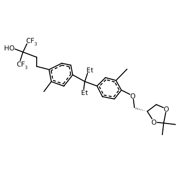 CCC(CC)(c1ccc(CCC(O)(C(F)(F)F)C(F)(F)F)c(C)c1)c1ccc(OC[C@@H]2COC(C)(C)O2)c(C)c1